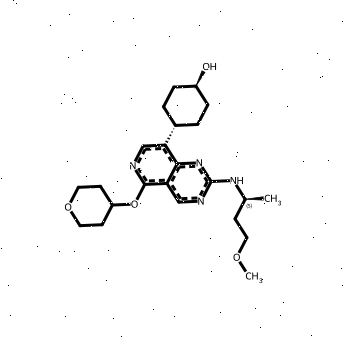 COCC[C@H](C)Nc1ncc2c(OC3CCOCC3)ncc([C@H]3CC[C@H](O)CC3)c2n1